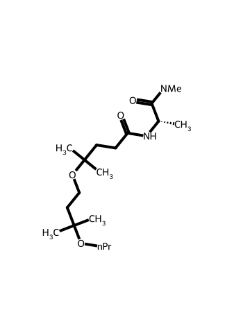 CCCOC(C)(C)CCOC(C)(C)CCC(=O)N[C@@H](C)C(=O)NC